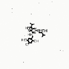 CC(C)c1[nH]nc2c(NCc3cc(O)c(Cl)cc3O)nc(NCC(O)C(C)C)nc12